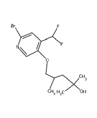 CC(COc1cnc(Br)cc1C(F)F)CC(C)(C)O